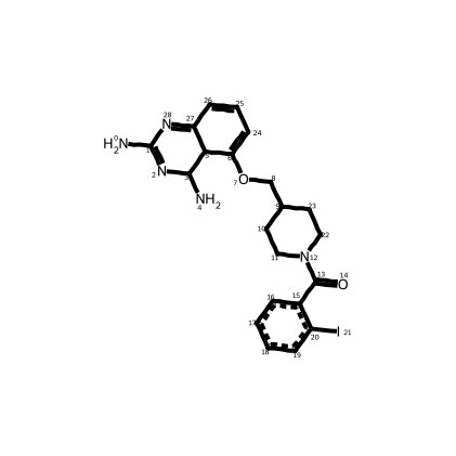 NC1=NC(N)C2C(OCC3CCN(C(=O)c4ccccc4I)CC3)=CC=CC2=N1